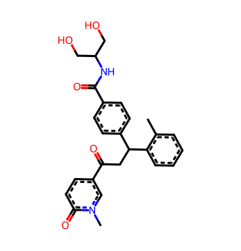 Cc1ccccc1C(CC(=O)c1ccc(=O)n(C)c1)c1ccc(C(=O)NC(CO)CO)cc1